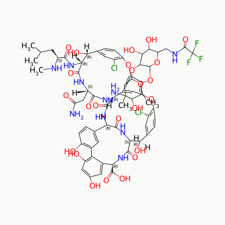 CN[C@@H](CC(C)C)C(=O)N[C@H]1C(=O)N[C@@H](CC(N)=O)C(=O)N[C@H]2C(=O)N[C@H]3C(=O)N[C@H](C(=O)N[C@@H](C(=O)O)c4cc(O)cc(O)c4-c4cc3ccc4O)[C@H](O)c3ccc(c(Cl)c3)Oc3cc2cc(c3OC2OC(CNC(=O)C(F)(F)F)C(O)C(O)C2OC2CC(C)(N)C(O)C(C)O2)Oc2ccc(cc2Cl)[C@H]1O